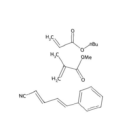 C=C(C)C(=O)OC.C=CC(=O)OCCCC.N#CC=CC=Cc1ccccc1